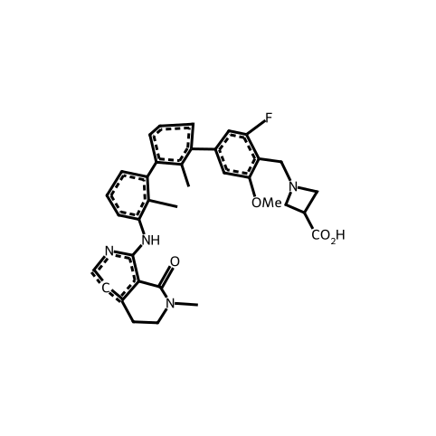 COc1cc(-c2cccc(-c3cccc(Nc4nccc5c4C(=O)N(C)CC5)c3C)c2C)cc(F)c1CN1CC(C(=O)O)C1